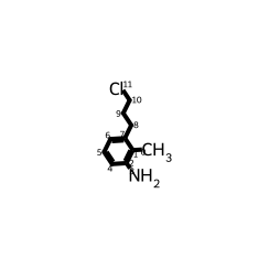 Cc1c(N)cccc1CCCCl